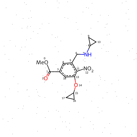 COC(=O)c1cc(CNC2CC2)c([N+](=O)[O-])c(OC2CC2)c1